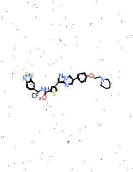 O=C(NC(c1ccc2nsnc2c1)C(F)(F)F)c1cc(-c2cnn3cc(-c4ccc(OCCN5CCCCC5)cc4)cnc23)cs1